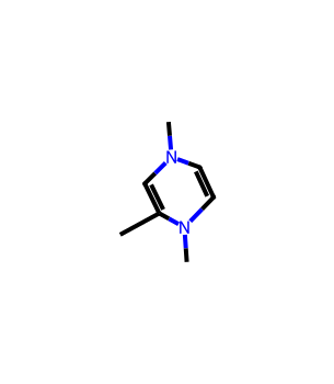 CC1=CN(C)C=CN1C